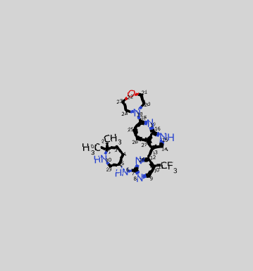 CC1(C)CC[C@H](Nc2ncc(C(F)(F)F)c(-c3c[nH]c4nc(N5CCOCC5)ccc34)n2)CN1